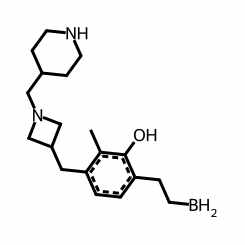 BCCc1ccc(CC2CN(CC3CCNCC3)C2)c(C)c1O